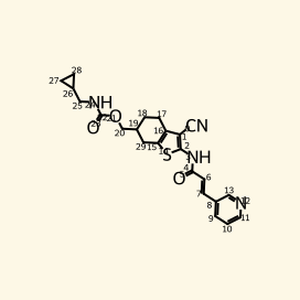 N#Cc1c(NC(=O)/C=C/c2cccnc2)sc2c1CCC(COC(=O)NCC1CC1)C2